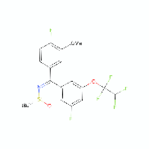 COc1cc(/C(=N/[S@+]([O-])C(C)(C)C)c2cc(F)cc(OC(F)(F)C(F)F)c2)ccc1F